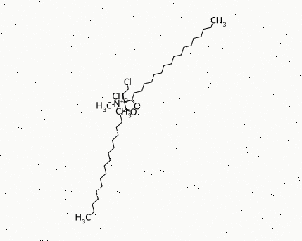 CCCCCCCCCCCCCCCCCC(=O)C(CCCl)(C(=O)CCCCCCCCCCCCCCCCC)[N+](C)(C)C